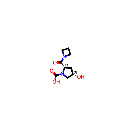 O=C([C@@H]1C[C@H](O)CN1C(=O)O)N1CCC1